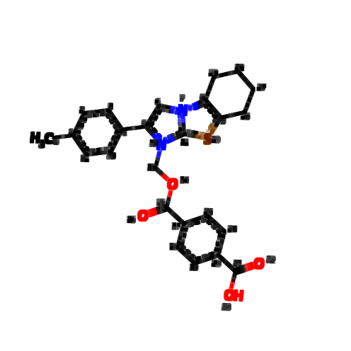 Cc1ccc(-c2c[n+]3c4c(sc3n2COC(=O)c2ccc(C(=O)O)cc2)CCCC4)cc1